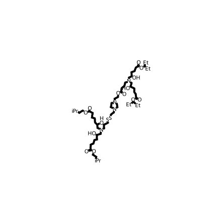 CCC(CC)OC(=O)CCCC(O)CN(CCCC(=O)OCCN1CCN(CCSSCCCN(CC(O)CCCCC(=O)OCCC(C)C)CC(O)CCCCC(=O)OCCC(C)C)CC1)CC(O)CCCC(=O)OC(CC)CC